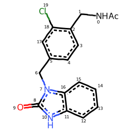 CC(=O)NCc1ccc(Cn2c(=O)[nH]c3ccccc32)cc1Cl